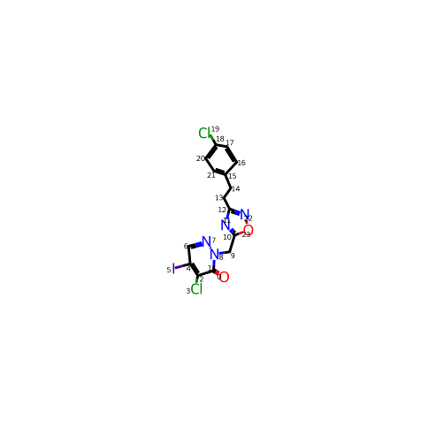 O=c1c(Cl)c(I)cnn1Cc1nc(CCc2ccc(Cl)cc2)no1